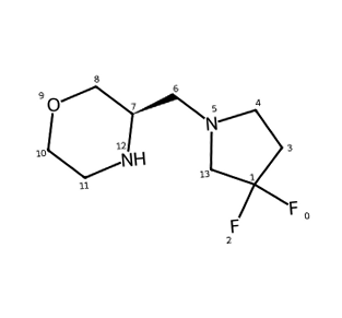 FC1(F)CCN(C[C@@H]2COCCN2)C1